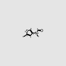 [CH2]c1cc(N(C)C=O)cs1